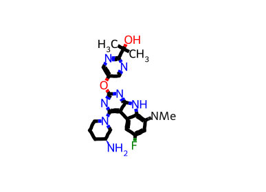 CNc1cc(F)cc2c1[nH]c1nc(Oc3cnc(C(C)(C)O)nc3)nc(N3CCC[C@@H](N)C3)c12